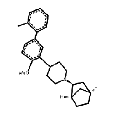 COc1ccc(-c2ccccc2C)cc1C1CCN([C@H]2C[C@H]3CC[C@H]2C3)CC1